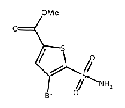 COC(=O)c1cc(Br)c(S(N)(=O)=O)s1